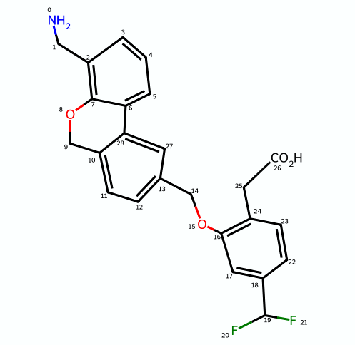 NCc1cccc2c1OCc1ccc(COc3cc(C(F)F)ccc3CC(=O)O)cc1-2